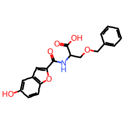 O=C(NC(COCc1ccccc1)C(=O)O)c1cc2cc(O)ccc2o1